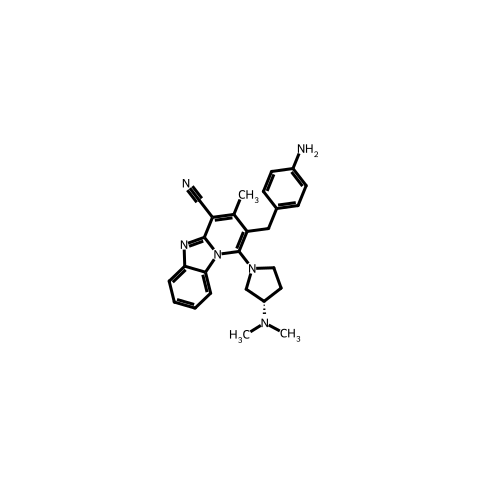 Cc1c(Cc2ccc(N)cc2)c(N2CC[C@H](N(C)C)C2)n2c(nc3ccccc32)c1C#N